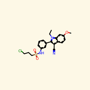 CCn1c(-c2cccc(NS(=O)(=O)CCCCl)c2)c(C#N)c2ccc(OC)cc21